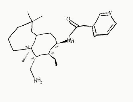 C[C@@H]1[C@H](NC(=O)c2cccnc2)CC2C(C)(C)CCC[C@]2(C)[C@H]1CN